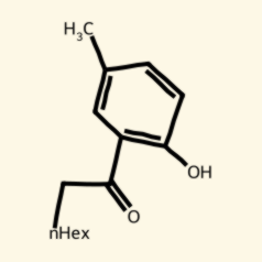 CCCCCCCC(=O)c1cc(C)ccc1O